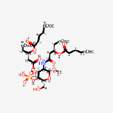 CCCCCCCCCCCCCC(=O)O[C@H](CCCCCCCCCCC)CC(=O)N[C@H]1[C@H](OCC)O[C@H](CO)[C@@H](OP(=O)(O)O)[C@@H]1OC(=O)C[C@@H](CCCCCCCCCCC)OC(=O)CCCCCCCCCCCCC